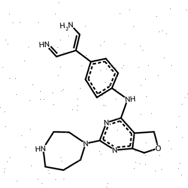 N=C/C(=C\N)c1ccc(Nc2nc(N3CCCNCC3)nc3c2COC3)cc1